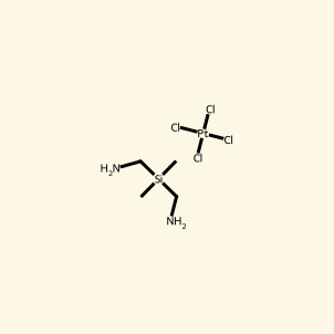 C[Si](C)(CN)CN.[Cl][Pt]([Cl])([Cl])[Cl]